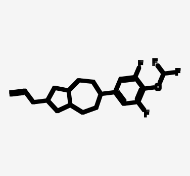 C=CCC1CC2CCC(c3cc(F)c(OC(F)F)c(F)c3)CCC2C1